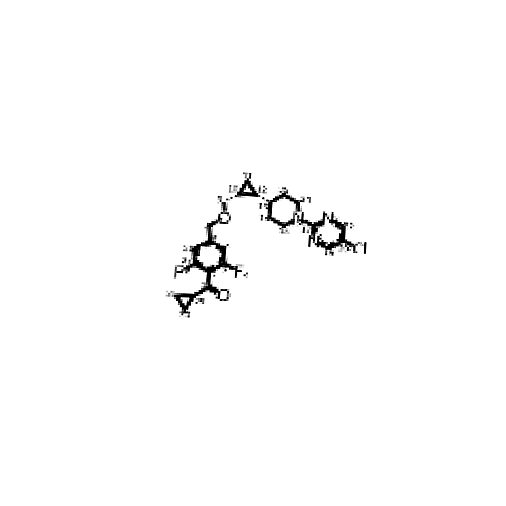 O=C(c1c(F)cc(COC[C@@H]2C[C@@H]2C2CCN(c3ncc(Cl)cn3)CC2)cc1F)C1CC1